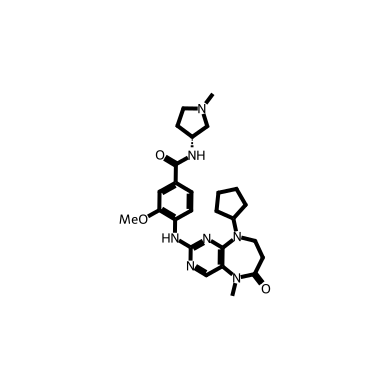 COc1cc(C(=O)N[C@@H]2CCN(C)C2)ccc1Nc1ncc2c(n1)N(C1CCCC1)CCC(=O)N2C